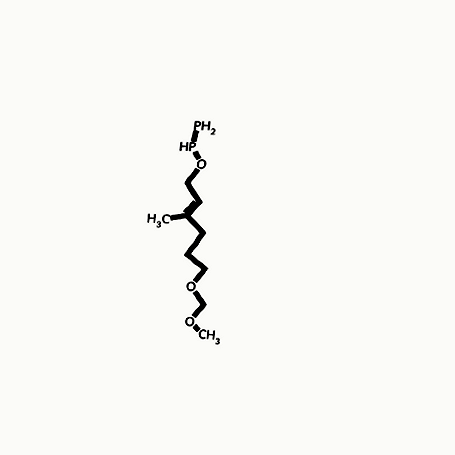 COCOCCC/C(C)=C/COPP